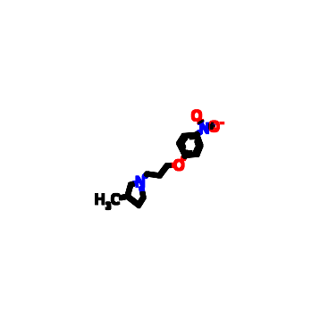 CC1CCN(CCCOc2ccc([N+](=O)[O-])cc2)C1